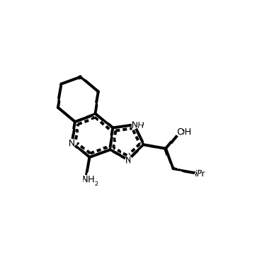 CC(C)CC(O)c1nc2c(N)nc3c(c2[nH]1)CCCC3